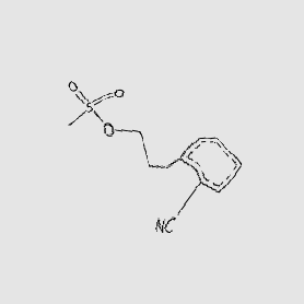 CS(=O)(=O)OCCc1ccccc1C#N